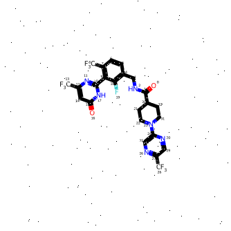 O=C(NCc1ccc(C(F)(F)F)c(-c2nc(C(F)(F)F)cc(=O)[nH]2)c1F)C1CCN(c2cnc(C(F)(F)F)cn2)CC1